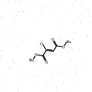 CCC(C)OC(=O)/C=C(\Cl)C(=O)OC(C)CC